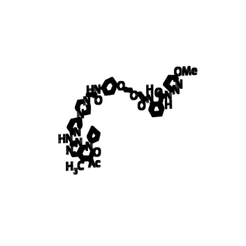 COc1ccc(NC(=O)c2ccccc2NC(=O)COCCO[C@H]2CC[C@H](NC(=O)CN3CCN(c4ccc(Nc5ncc6c(C)c(C(C)=O)c(=O)n(C7CCCC7)c6n5)nc4)CC3)CC2)nn1